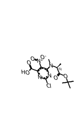 C[C@@H](C(=O)OC(C)(C)C)N(C)c1nc(Cl)nc(C(=O)O)c1[N+](=O)[O-]